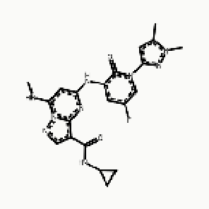 CNc1cc(Nc2cc(F)cn(-c3cc(C)n(C)n3)c2=O)nc2c(C(=O)NC3CC3)cnn12